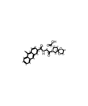 Cc1c2ccccc2cc2cc(C(=O)NCC(=O)N3CC4(C[C@H]3C(=O)O)OCCO4)ccc12